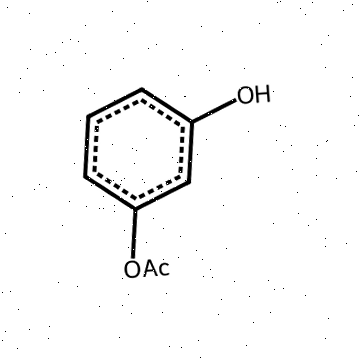 [CH2]C(=O)Oc1cccc(O)c1